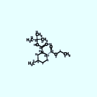 CCOC(=O)[C@@H]1CCC(C)CN1C(=O)OC(C)(C)C